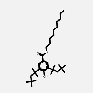 CCCCCCCCCCOC(=O)c1cc(C(C)(C)CC(C)(C)C)c(O)c(C(C)(C)CC(C)(C)C)c1